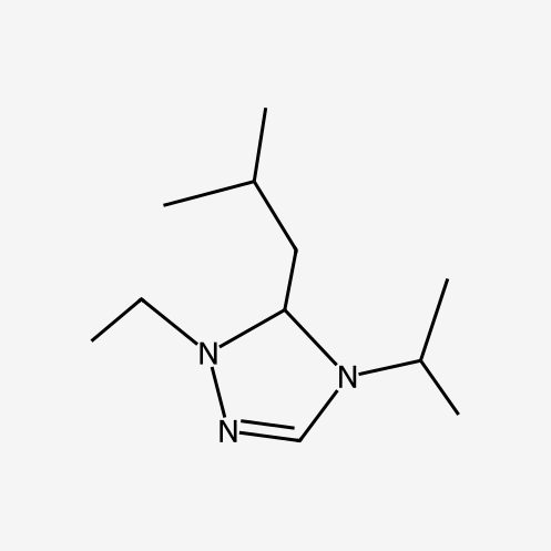 CCN1N=CN(C(C)C)C1CC(C)C